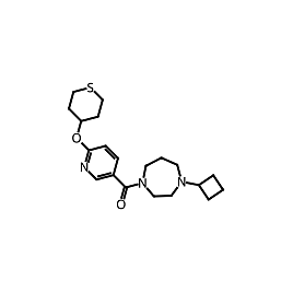 O=C(c1ccc(OC2CCSCC2)nc1)N1CCCN(C2CCC2)CC1